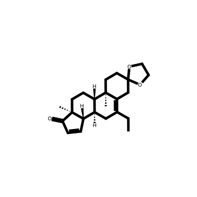 CCC1=C2CC3(CC[C@]2(C)[C@H]2CC[C@]4(C)C(=O)C=C[C@H]4[C@@H]2C1)OCCO3